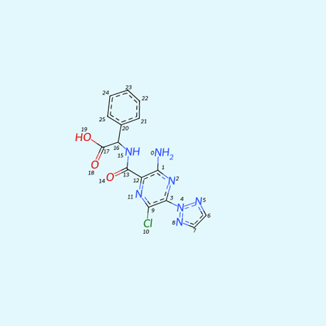 Nc1nc(-n2nccn2)c(Cl)nc1C(=O)NC(C(=O)O)c1ccccc1